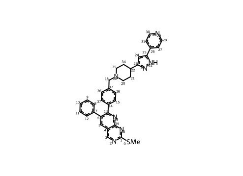 CSc1ncc2cc(-c3ccccc3)c(-c3ccc(CN4CCC(c5cc(-c6ccncc6)[nH]n5)CC4)cc3)nc2n1